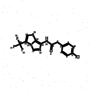 O=C(Cc1ccc(Cl)nc1)Nc1ncn2c(C(F)(F)F)csc12